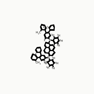 [2H]c1c([2H])c([2H])c(N(c2cc(-c3ccccc3C)c(-c3ccccc3C)cc2C)c2ccc3ccc4c(N(c5cc(-c6ccccc6C)c(-c6ccccc6C)cc5F)c5c([2H])c([2H])c([2H])c([2H])c5[2H])ccc5ccc2c3c54)c([2H])c1[2H]